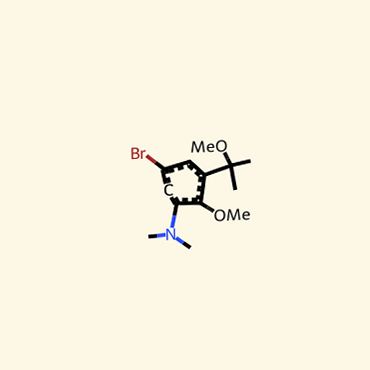 COc1c(N(C)C)cc(Br)cc1C(C)(C)OC